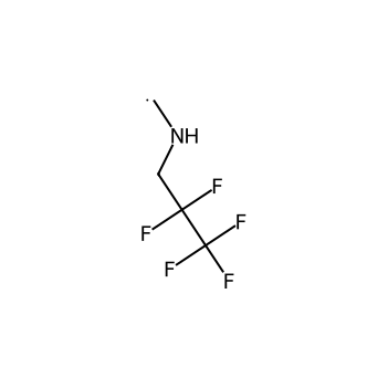 [CH2]NCC(F)(F)C(F)(F)F